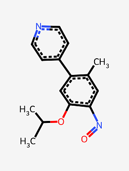 Cc1cc(N=O)c(OC(C)C)cc1-c1ccncc1